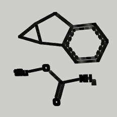 CC(C)(C)OC(N)=O.c1ccc2c(c1)CC1CC21